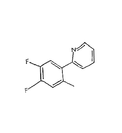 Cc1cc(F)c(F)cc1-c1ccccn1